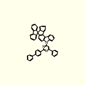 c1ccc(-c2ccc(-c3nc(-c4ccccc4)cc(-n4c5ccccc5c5c6c(ccc54)C4(c5ccccc5-c5ccccc54)c4ccccc4-6)n3)cc2)cc1